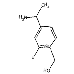 CC(N)c1ccc(CO)c(F)c1